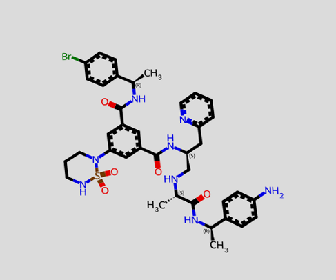 C[C@H](NC[C@H](Cc1ccccn1)NC(=O)c1cc(C(=O)N[C@H](C)c2ccc(Br)cc2)cc(N2CCCNS2(=O)=O)c1)C(=O)N[C@H](C)c1ccc(N)cc1